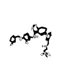 CS(=O)(=O)CCNCc1ccn(-c2ccc3ncnc(Nc4ccc(OCc5cccc(F)c5)c(Cl)c4)c3c2)c1